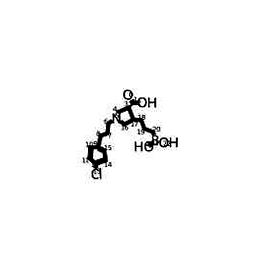 O=C(O)[C@@H]1CN(CCCc2ccc(Cl)cc2)CC1CCCB(O)O